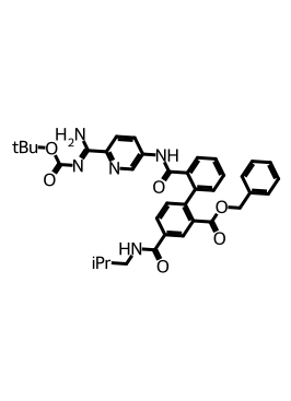 CC(C)CNC(=O)c1ccc(-c2ccccc2C(=O)Nc2ccc(C(N)=NC(=O)OC(C)(C)C)nc2)c(C(=O)OCc2ccccc2)c1